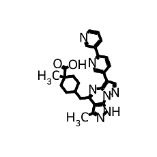 Cc1n[nH]c2c1c(CC1CCC(C)(C(=O)O)CC1)nc1c(-c3ccc(-c4cccnc4)nc3)cnn12